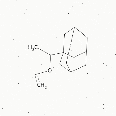 C=COC(C)C12CC3CC(CC(C3)C1)C2